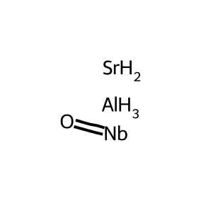 [AlH3].[O]=[Nb].[SrH2]